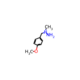 COc1ccc(CN(C)N)cc1